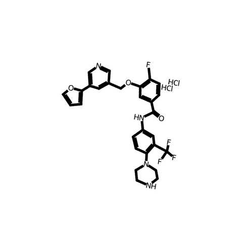 Cl.Cl.O=C(Nc1ccc(N2CCNCC2)c(C(F)(F)F)c1)c1ccc(F)c(OCc2cncc(-c3ccco3)c2)c1